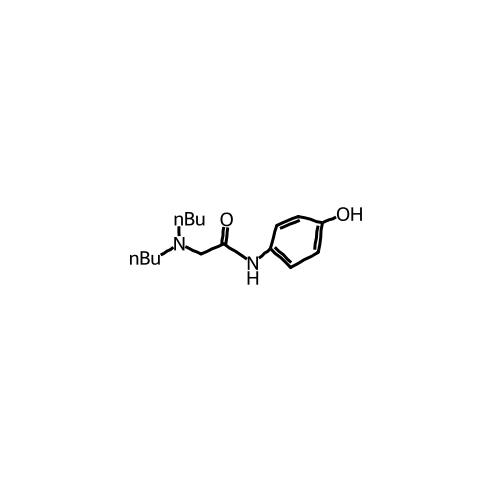 CCCCN(CCCC)CC(=O)Nc1ccc(O)cc1